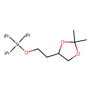 CC(C)[Si](OCCC1COC(C)(C)O1)(C(C)C)C(C)C